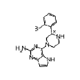 Nc1nc(N2CCN[C@H](c3ccccc3Br)C2)c2[nH]ccc2n1